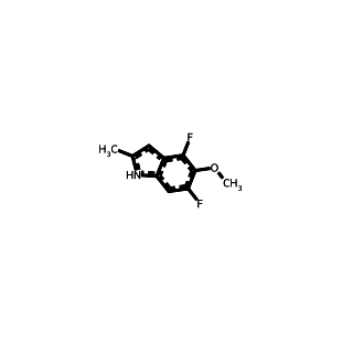 COc1c(F)cc2[nH]c(C)cc2c1F